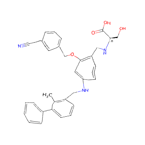 Cc1c(CNc2ccc(CN[C@H](CO)C(=O)O)c(OCc3cccc(C#N)c3)c2)cccc1-c1ccccc1